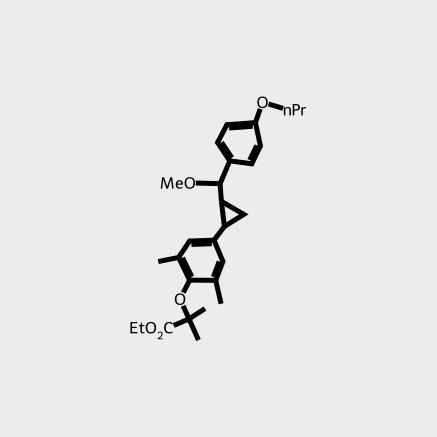 CCCOc1ccc(C(OC)C2CC2c2cc(C)c(OC(C)(C)C(=O)OCC)c(C)c2)cc1